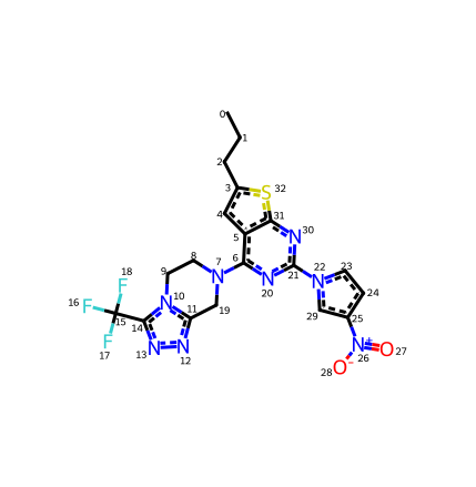 CCCc1cc2c(N3CCn4c(nnc4C(F)(F)F)C3)nc(-n3ccc([N+](=O)[O-])c3)nc2s1